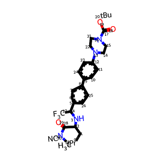 CC(C)CC(NC(c1ccc(-c2ccc(N3CCN(C(=O)OC(C)(C)C)CC3)cc2)cc1)C(F)(F)F)C(=O)N(C)C#N